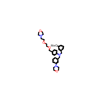 COc1cccc(CN(Cc2cccc(N3CCOCC3)c2)c2ccc(COCCOCCN3CCOCC3)cc2)c1